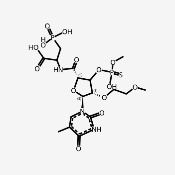 COCCO[C@H]1C(OP(O)(=S)OC)[C@@H](C(=O)NC(CP(=O)(O)O)C(=O)O)O[C@@H]1n1cc(C)c(=O)[nH]c1=O